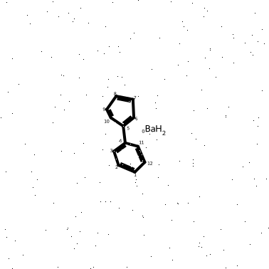 [BaH2].c1ccc(-c2ccccc2)cc1